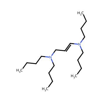 CCCCN(C=CCN(CCCC)CCCC)CCCC